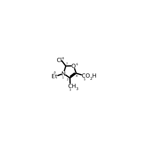 CCN1C(C)=C(C(=O)O)OC1Cl